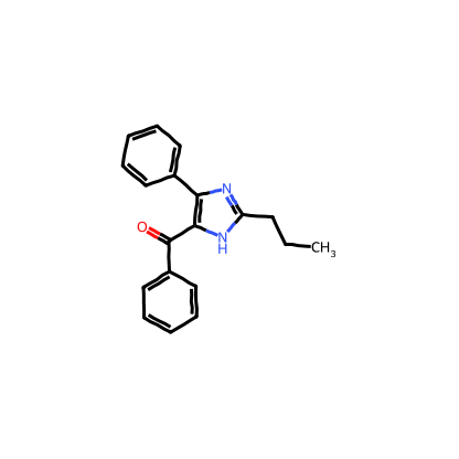 CCCc1nc(-c2ccccc2)c(C(=O)c2ccccc2)[nH]1